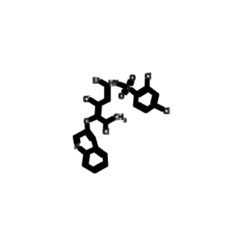 CC/C(=C\C(Cl)=C(\Oc1cnc2ccccc2c1)C(C)Cl)NS(=O)(=O)c1ccc(Cl)cc1Cl